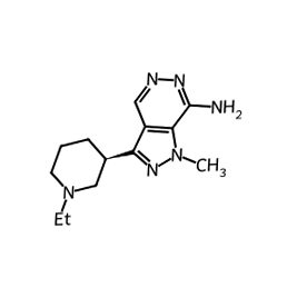 CCN1CCC[C@@H](c2nn(C)c3c(N)nncc23)C1